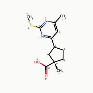 CSc1nc(C)cc(C2CC[C@](C)(C(=O)O)C2)n1